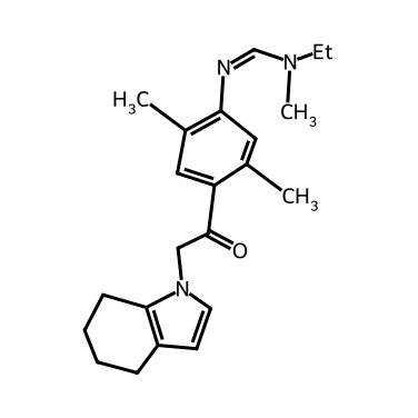 CCN(C)/C=N\c1cc(C)c(C(=O)Cn2ccc3c2CCCC3)cc1C